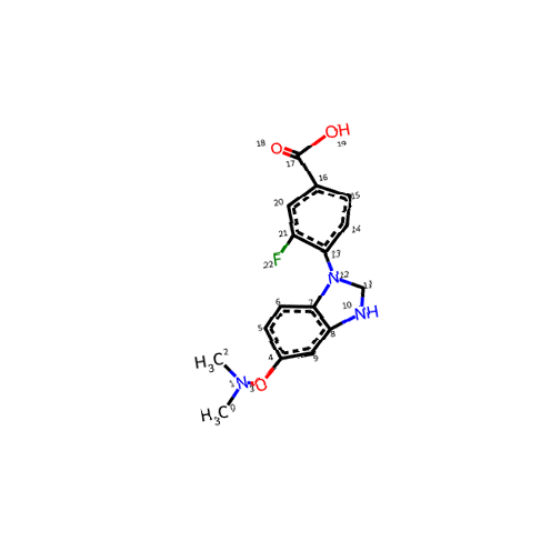 CN(C)Oc1ccc2c(c1)NCN2c1ccc(C(=O)O)cc1F